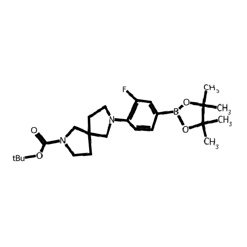 CC(C)(C)OC(=O)N1CCC2(CCN(c3ccc(B4OC(C)(C)C(C)(C)O4)cc3F)C2)C1